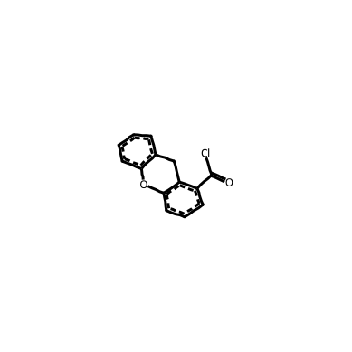 O=C(Cl)c1cccc2c1Cc1ccccc1O2